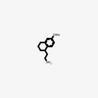 COc1ccc2c(c1)CCCC2CCN